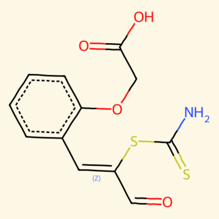 NC(=S)S/C(C=O)=C\c1ccccc1OCC(=O)O